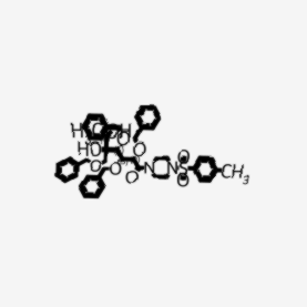 Cc1ccc(S(=O)(=O)N2CCN(C(=O)[C@H](OCc3ccccc3)[C@@H](OCc3ccccc3)[C@H](OCc3ccccc3)C(O)(COCc3ccccc3)[C@@H](C)O)CC2)cc1